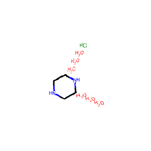 C1CNCCN1.Cl.O.O.O.O.O.O